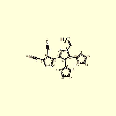 C=Cc1sc(-c2scc(C#N)c2C#N)c(-c2cccs2)c1-c1cccs1